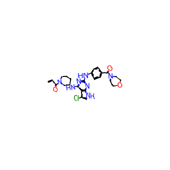 C=CC(=O)N1CCC[C@@H](Nc2nc(Nc3ccc(C(=O)N4CCOCC4)cc3)nc3[nH]cc(Cl)c23)C1